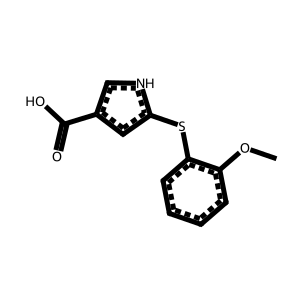 COc1ccccc1Sc1cc(C(=O)O)c[nH]1